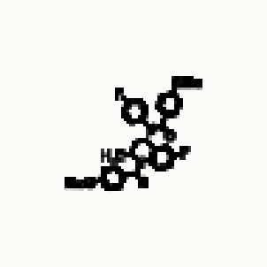 COc1ccc(C(=O)N2c3ccc(F)cc3[C@@H](N(C(=O)c3ccc(OC)cc3)c3ccc(F)cc3)C[C@@H]2C)cc1